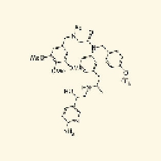 COc1cc(CN(CC(=O)N(Cc2ccc(OC(F)(F)F)cc2)c2cccc(CC(C)NC[C@H](O)c3ccc(N)nc3)c2)C(C)=O)cc(OC)c1OC